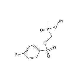 CC(C)OP(C)(=O)COS(=O)(=O)c1ccc(Br)cc1